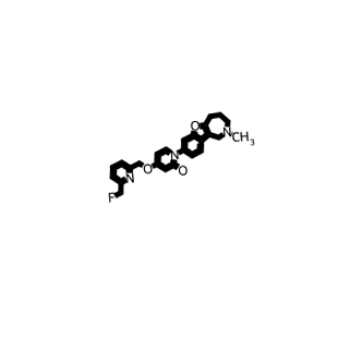 CN1CCCc2oc3cc(-n4ccc(OCc5cccc(CF)n5)cc4=O)ccc3c2C1